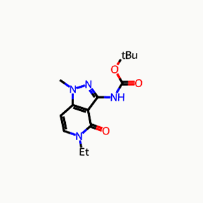 CCn1ccc2c(c(NC(=O)OC(C)(C)C)nn2C)c1=O